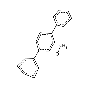 CO.c1ccc(-c2ccc(-c3ccccc3)cc2)cc1